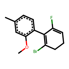 COc1cc(C)ccc1C1=C(Br)CCC=C1F